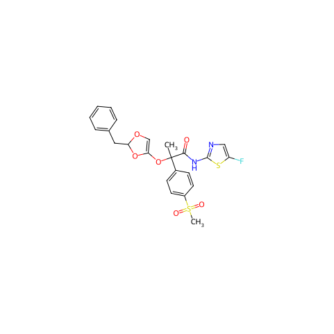 CC(OC1=COC(Cc2ccccc2)O1)(C(=O)Nc1ncc(F)s1)c1ccc(S(C)(=O)=O)cc1